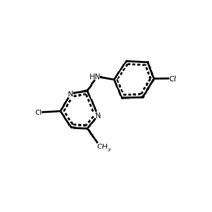 Cc1cc(Cl)nc(Nc2ccc(Cl)cc2)n1